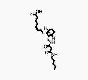 CCCCCNC(=O)CC(=O)NC[C@@H]1[C@H](CC/C=C\CCCC(=O)O)[C@@H]2CC[C@H]1O2